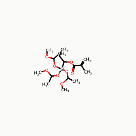 C=C(C)C(=O)OC(CC)[Si](OC(C)OC)(OC(C)OC)OC(C)OC